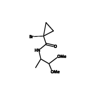 COC(OC)C(C)NC(=O)C1(Br)CC1